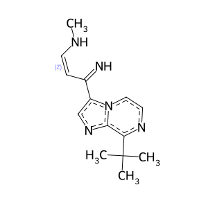 CN/C=C\C(=N)c1cnc2c(C(C)(C)C)nccn12